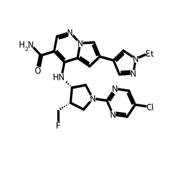 CCn1cc(-c2cc3c(N[C@@H]4CN(c5ncc(Cl)cn5)C[C@@H]4CF)c(C(N)=O)cnn3c2)cn1